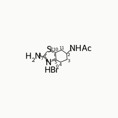 Br.CC(=O)NC1CCc2nc(N)sc2C1